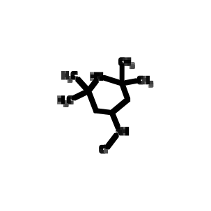 CC1(C)CC(NCl)CC(C)(C)N1